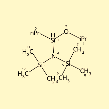 CCC[SiH](OC(C)C)N([Si](C)(C)C)[Si](C)(C)C